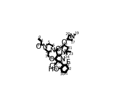 C=CC(=O)N1CCN2C(=O)c3c(N4CC(OC5CN(C)C5)CC4(C)C)nc(-c4c(O)cccc4F)c(Cl)c3OCC2C1